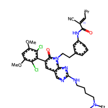 CCN(C)CCCCNc1ncc2cc(-c3c(Cl)c(OC)cc(OC)c3Cl)c(=O)n(CCc3cccc(NC(=O)/C(C#N)=C/C(C)C)c3)c2n1